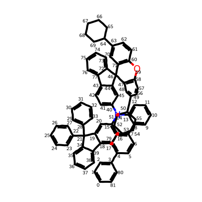 c1ccc(-c2ccc(-c3ccccc3N(c3ccc4c(c3)C(c3ccccc3)(c3ccccc3)c3ccccc3-4)c3ccc4c(c3)C3(c5cc(C6CCCCC6)ccc5Oc5ccc(C6CCCCC6)cc53)c3ccccc3-4)cc2)cc1